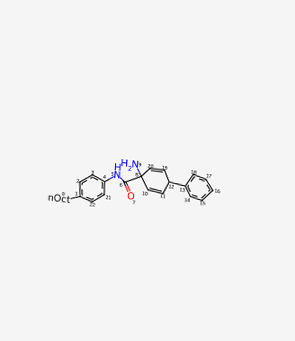 CCCCCCCCc1ccc(NC(=O)C2(N)C=CC(c3ccccc3)C=C2)cc1